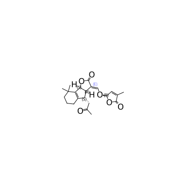 CC(=O)C[C@@H]1C2=C([C@H]3OC(=O)/C(=C/O[C@H]4C=C(C)C(=O)O4)[C@@H]13)C(C)(C)CCC2